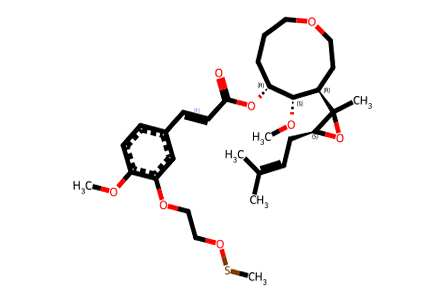 COc1ccc(/C=C/C(=O)O[C@@H]2CCCOCC[C@@H](C3(C)O[C@H]3CC=C(C)C)[C@@H]2OC)cc1OCCOSC